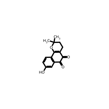 CC1(C)CCC2=C(O1)c1ccc(O)cc1C(=O)C2=O